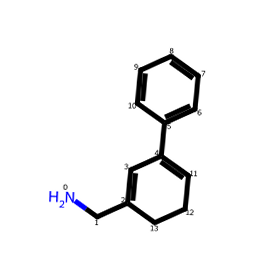 NCC1=CC(c2ccccc2)=CCC1